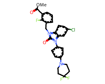 COC(=O)c1cccc(Cn2c(=O)n(-c3ccc(N4CCC(F)(F)CC4)cc3)c3cc(Cl)ccc32)c1F